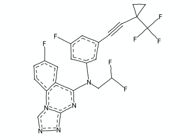 Fc1cc(C#CC2(C(F)(F)F)CC2)cc(N(CC(F)F)c2nc3nncn3c3ccc(F)cc23)c1